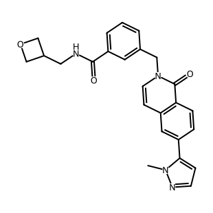 Cn1nccc1-c1ccc2c(=O)n(Cc3cccc(C(=O)NCC4COC4)c3)ccc2c1